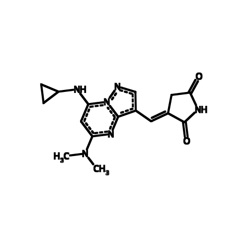 CN(C)c1cc(NC2CC2)n2ncc(C=C3CC(=O)NC3=O)c2n1